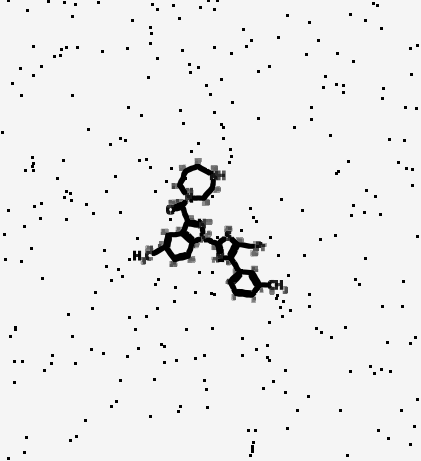 Cc1cccc(-c2nc(-n3nc(C(=O)N4CCCNCC4)c4cc(C)ccc43)sc2C(C)C)c1